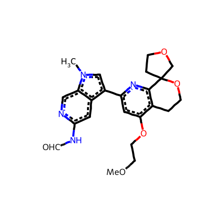 COCCOc1cc(-c2cn(C)c3cnc(NC=O)cc23)nc2c1CCOC21CCOC1